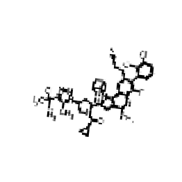 Cc1nc2c(F)c(-c3cccc(Cl)c3Cl)c(CCC#N)cc2c2c1cc(C1CC(n3nnc(C(C)(C)C)c3C)CN1C(=O)C1CC1)n2C1C2CNC1C2